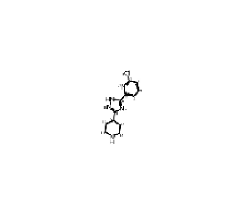 Clc1cccc(-c2nc(C3CCNCC3)n[nH]2)n1